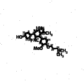 COc1cc(-c2c(C#N)c(-c3ccc(O)cc3F)nc3[nH]nc(C)c23)ccc1OCCCN(C)C